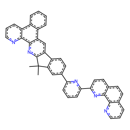 CC1(C)c2cc(-c3cccc(-c4ccc5ccc6cccnc6c5n4)n3)ccc2-c2cc3c4ccccc4c4cccnc4c3nc21